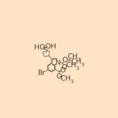 COC(=O)c1cc(Br)cc2c(C3CCS(O)(O)C3)cn(C(=O)OC(C)(C)C)c12